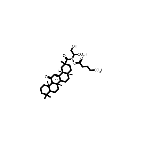 CC1(C(=O)N(OC(=O)CCCC(=O)O)[C@@H](CO)C(=O)O)CC[C@]2(C)CC[C@]3(C)C(=CC(=O)C4[C@@]5(C)CCCC(C)(C)C5CC[C@]43C)[C@@H]2C1